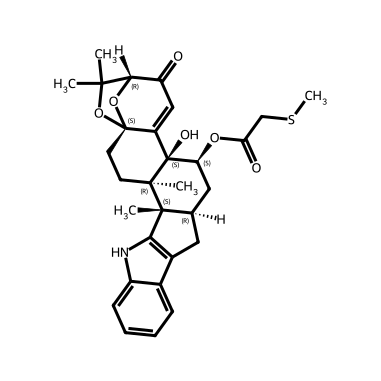 CSCC(=O)O[C@H]1C[C@H]2Cc3c([nH]c4ccccc34)[C@]2(C)[C@@]2(C)CC[C@@]34O[C@@H](C(=O)C=C3[C@]12O)C(C)(C)O4